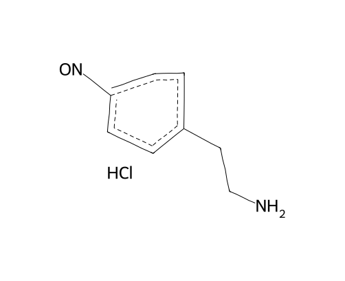 Cl.NCCc1ccc(N=O)cc1